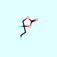 O=C1OCC(F)(CCF)O1